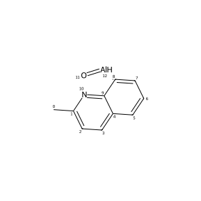 Cc1ccc2ccc[c]c2n1.[O]=[AlH]